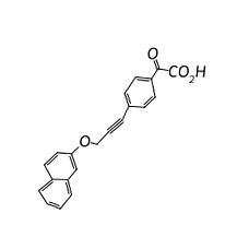 O=C(O)C(=O)c1ccc(C#CCOc2ccc3ccccc3c2)cc1